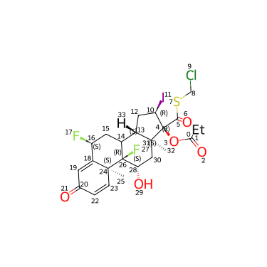 CCC(=O)O[C@]1(C(=O)SCCl)[C@H](I)C[C@H]2C3C[C@H](F)C4=CC(=O)C=C[C@]4(C)[C@@]3(F)[C@@H](O)C[C@@]21C